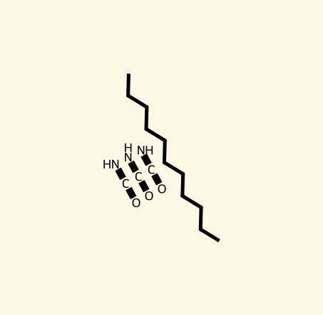 CCCCCCCCCCC.N=C=O.N=C=O.N=C=O